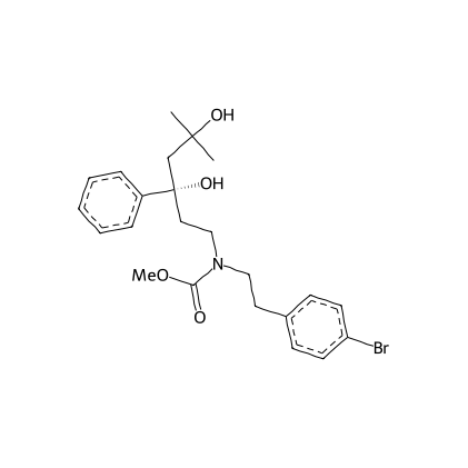 COC(=O)N(CCc1ccc(Br)cc1)CC[C@](O)(CC(C)(C)O)c1ccccc1